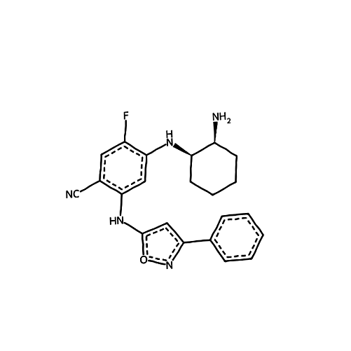 N#Cc1cc(F)c(N[C@@H]2CCCC[C@@H]2N)cc1Nc1cc(-c2ccccc2)no1